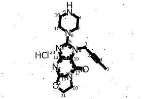 CC#CCn1c(N2CCNCC2)nc2nc3n(c(=O)c21)CCO3.Cl